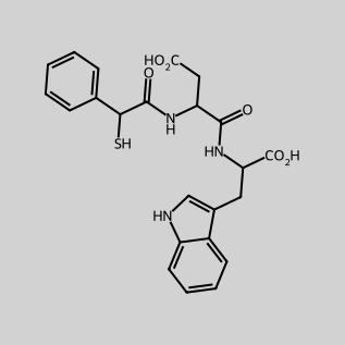 O=C(O)CC(NC(=O)C(S)c1ccccc1)C(=O)NC(Cc1c[nH]c2ccccc12)C(=O)O